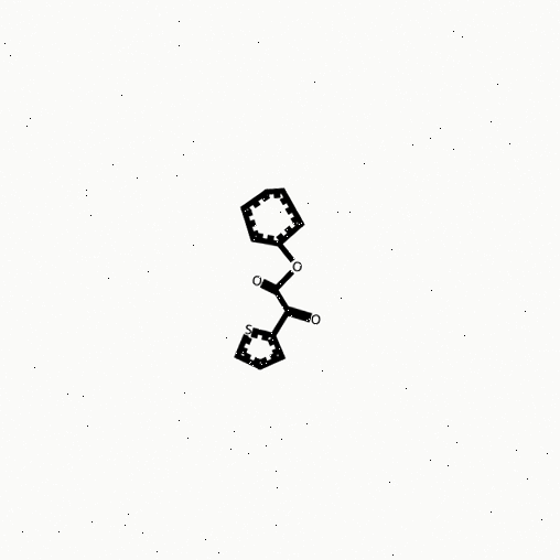 O=C(Oc1ccccc1)C(=O)c1cccs1